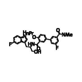 CCCOc1ccc(-c2cc(F)cc(C(=O)NC)c2)cc1C(=O)NC(CO)Cc1c[nH]c2ccc(F)cc12